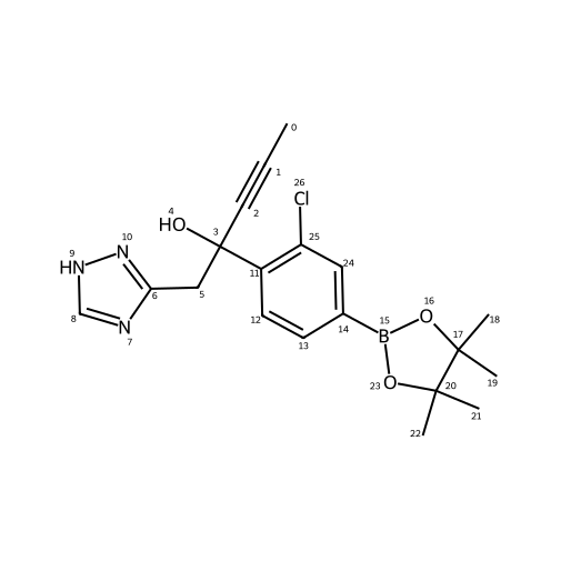 CC#CC(O)(Cc1nc[nH]n1)c1ccc(B2OC(C)(C)C(C)(C)O2)cc1Cl